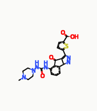 CN1CCN(NC(=O)Nc2cccc3c2C(=O)C2=C(c4ccc(C(=O)O)s4)N=NC23)CC1